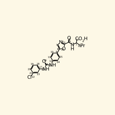 CC(C)C(NC(=O)c1ncc(-c2ccc(NC(=O)Nc3cccc(Cl)c3)cc2)o1)C(=O)O